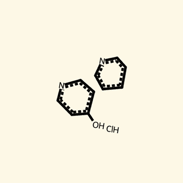 Cl.Oc1ccncc1.c1ccncc1